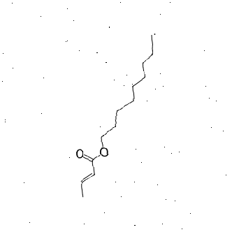 [CH2]CCCCCCCCOC(=O)C=CC